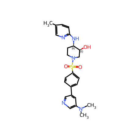 Cc1ccc(N[C@@H]2CCN(S(=O)(=O)c3ccc(-c4cncc(N(C)C)c4)cc3)C[C@@H]2O)nc1